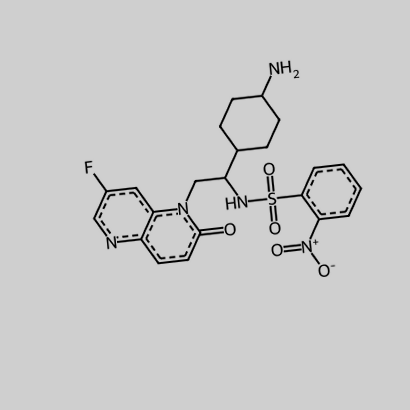 NC1CCC(C(Cn2c(=O)ccc3ncc(F)cc32)NS(=O)(=O)c2ccccc2[N+](=O)[O-])CC1